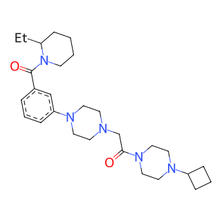 CCC1CCCCN1C(=O)c1cccc(N2CCN(CC(=O)N3CCN(C4CCC4)CC3)CC2)c1